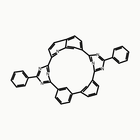 c1ccc(-c2nc3nc(n2)-c2ccc4ccc(nc4c2)-c2nc(-c4ccccc4)nc(n2)-c2cccc(c2)-c2cccc-3c2)cc1